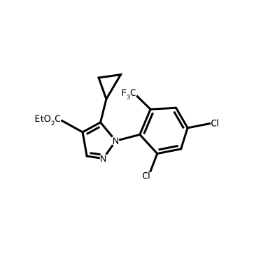 CCOC(=O)c1cnn(-c2c(Cl)cc(Cl)cc2C(F)(F)F)c1C1CC1